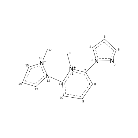 C[n+]1c(-n2cccn2)cccc1-n1ccc[n+]1C